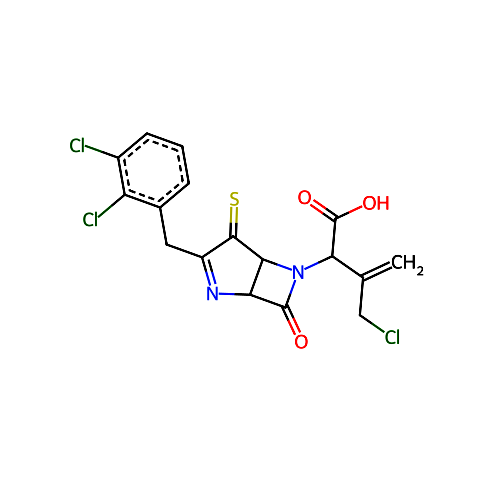 C=C(CCl)C(C(=O)O)N1C(=O)C2N=C(Cc3cccc(Cl)c3Cl)C(=S)C21